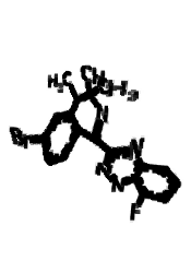 CC1c2cc(Br)ccc2C(c2nnc3c(F)cccc3n2)=NC1(C)C